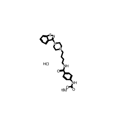 CC(C)(C)OC(=O)Nc1ccc(C(=O)NCCCCN2CCN(c3nsc4ccccc34)CC2)cc1.Cl